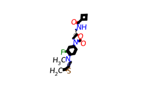 C=C1S/C1=C/N(C)c1ccc(N2C[C@H](CNC(=O)C3CCC3)OC2=O)cc1F